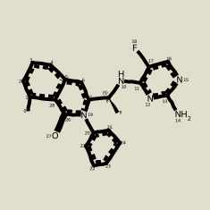 Cc1cccc2cc([C@H](C)Nc3nc(N)ncc3F)n(-c3ccccc3)c(=O)c12